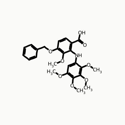 COc1cc(Nc2c(C(=O)O)ccc(OCc3ccccc3)c2OC)c(OC)c(OC)c1OC